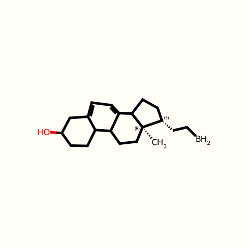 BCC[C@H]1CCC2C3=CC=C4CC(O)CCC4C3CC[C@@]21C